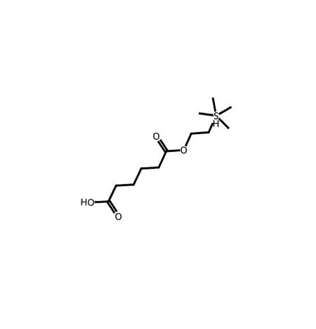 C[SH](C)(C)(C)CCOC(=O)CCCCC(=O)O